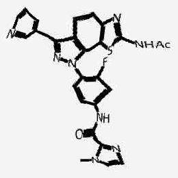 CC(=O)Nc1nc2c(s1)-c1c(c(-c3cccnc3)nn1-c1ccc(NC(=O)c3nccn3C)cc1F)CC2